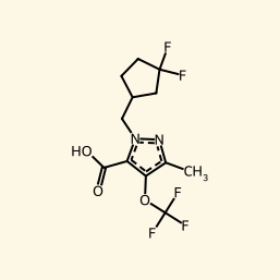 Cc1nn(CC2CCC(F)(F)C2)c(C(=O)O)c1OC(F)(F)F